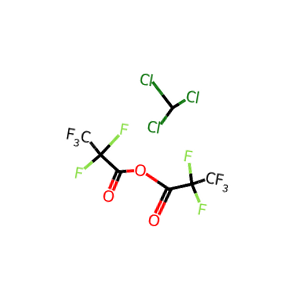 ClC(Cl)Cl.O=C(OC(=O)C(F)(F)C(F)(F)F)C(F)(F)C(F)(F)F